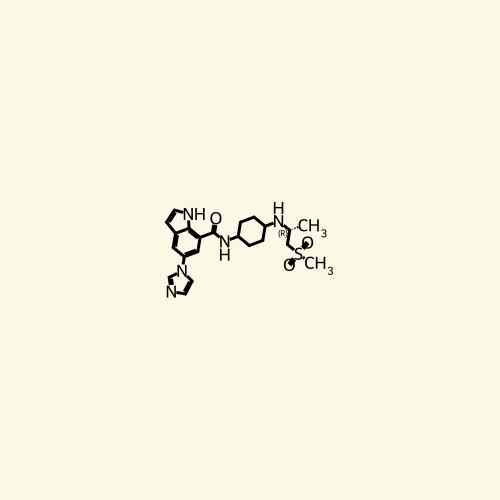 C[C@H](CS(C)(=O)=O)NC1CCC(NC(=O)c2cc(-n3ccnc3)cc3cc[nH]c23)CC1